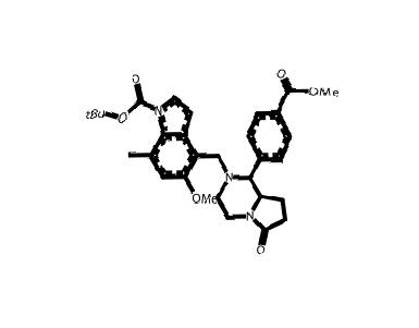 COC(=O)c1ccc(C2C3CCC(=O)N3CCN2Cc2c(OC)cc(C)c3c2ccn3C(=O)OC(C)(C)C)cc1